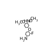 CONc1cc(Oc2ccc(N)cc2F)ccc1OC